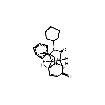 O=C1C=C[C@H]2[C@@H]3C(=O)N(C4CCCCC4)C(=O)[C@@H]3[C@@H]1N2Cc1ccccc1